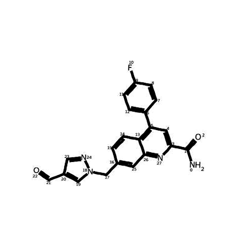 NC(=O)c1cc(-c2ccc(F)cc2)c2ccc(Cn3cc(C=O)cn3)cc2n1